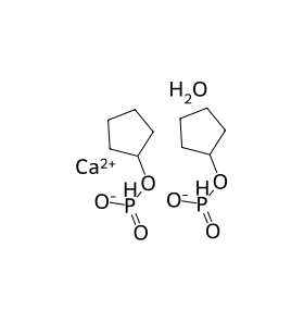 O.O=[PH]([O-])OC1CCCC1.O=[PH]([O-])OC1CCCC1.[Ca+2]